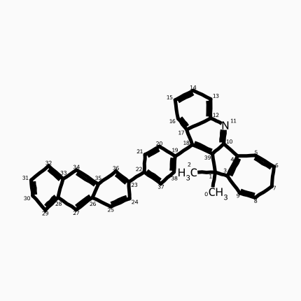 CC1(C)C2=C(C=CCC=C2)c2nc3ccccc3c(-c3ccc(-c4ccc5cc6ccccc6cc5c4)cc3)c21